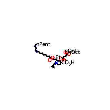 CCCCC/C=C\C/C=C\CCCCCCCC(=O)OCC(CC)C1C(OC(=O)CCC(OCCCCCCCC)OCCCCCCCC)C(C(=O)O)CCN1CC1CC1